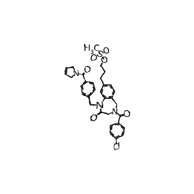 CS(=O)(=O)OCCCc1ccc2c(c1)N(Cc1ccc(C(=O)N3CC=CC3)cc1)C(=O)CN(C(=O)c1ccc(Cl)cc1)C2